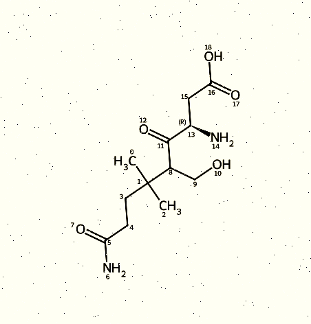 CC(C)(CCC(N)=O)C(CO)C(=O)[C@H](N)CC(=O)O